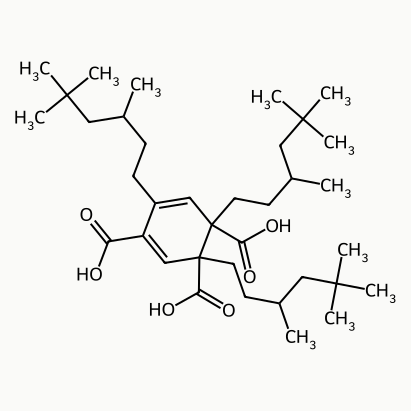 CC(CCC1=CC(CCC(C)CC(C)(C)C)(C(=O)O)C(CCC(C)CC(C)(C)C)(C(=O)O)C=C1C(=O)O)CC(C)(C)C